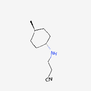 C[C@H]1CC[C@H](NCCC#N)CC1